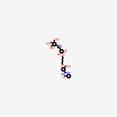 COc1cc(-c2cc(-c3cc(CO)c(CO)c(CO)c3)on2)cc(OC)c1OCCCCCCOc1ccc(C2NC(=O)c3ccccc3N2)cc1CO